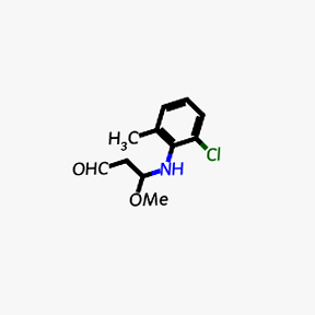 COC(CC=O)Nc1c(C)cccc1Cl